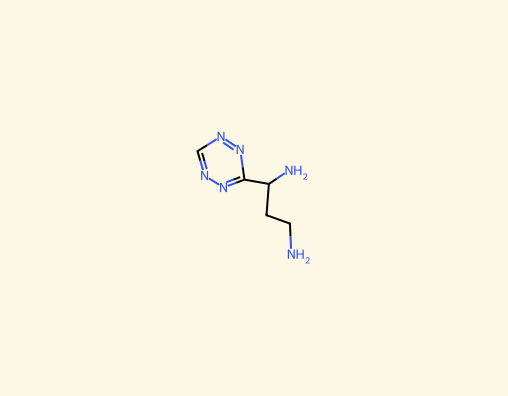 NCCC(N)c1nncnn1